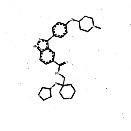 CN1CCC(Oc2ccc(-c3n[nH]c4ccc(C(=O)NCC5(OC6CCCC6)CCCCC5)cc34)cc2)CC1